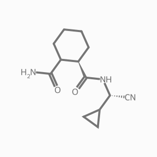 N#C[C@@H](NC(=O)[C@@H]1CCCCC1C(N)=O)C1CC1